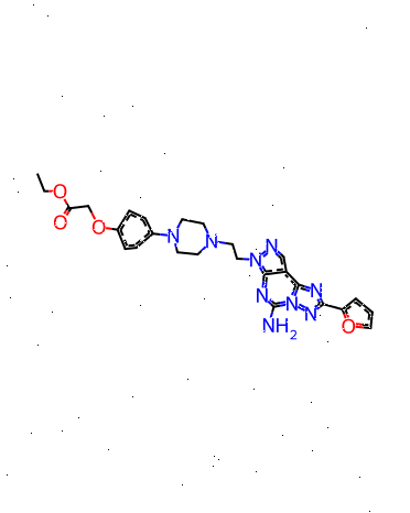 CCOC(=O)COc1ccc(N2CCN(CCn3ncc4c3nc(N)n3nc(-c5ccco5)nc43)CC2)cc1